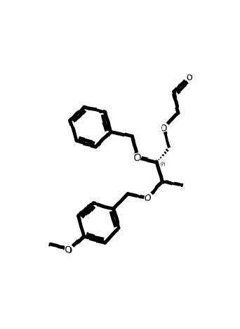 COc1ccc(COC(C)[C@@H](COCC=O)OCc2ccccc2)cc1